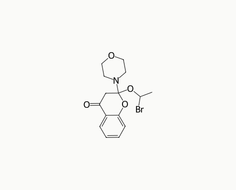 CC(Br)OC1(N2CCOCC2)CC(=O)c2ccccc2O1